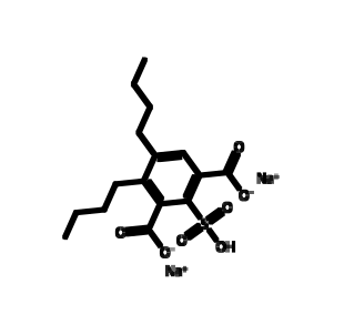 CCCCc1cc(C(=O)[O-])c(S(=O)(=O)O)c(C(=O)[O-])c1CCCC.[Na+].[Na+]